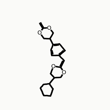 C=C1OCC(c2ccc(C=C3OCC(C4CCCCC4)CO3)cc2)CO1